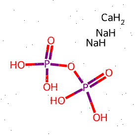 O=P(O)(O)OP(=O)(O)O.[CaH2].[NaH].[NaH]